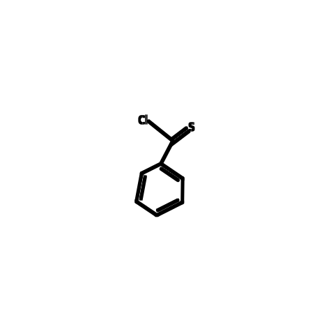 S=C(Cl)c1ccccc1